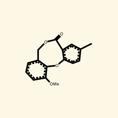 COc1cccc2c1Oc1ccc(C)cc1C(=O)OC2